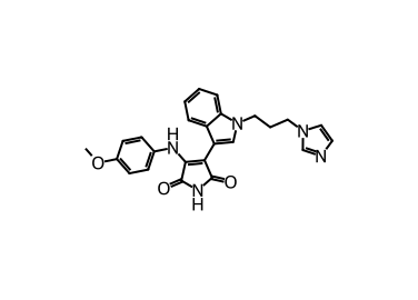 COc1ccc(NC2=C(c3cn(CCCn4ccnc4)c4ccccc34)C(=O)NC2=O)cc1